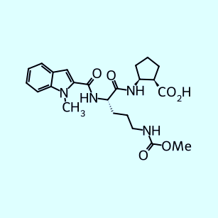 COC(=O)NCCC[C@H](NC(=O)c1cc2ccccc2n1C)C(=O)N[C@H]1CCC[C@H]1C(=O)O